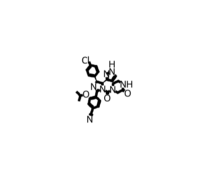 CC(C)Oc1cc(C#N)ccc1C1=N[C@@H](c2ccc(Cl)cc2)[C@@H](c2cc[nH]n2)N1C(=O)N1CCNC(=O)C1